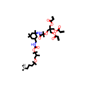 C=CC(=O)OCC(COC(=O)C=C)(COC(=O)C=C)COC(C)(C)C(=O)NC1(C)CC(CNC(=O)OC(C)(C)C(C)COC(C)(C)CCC[SiH](C)C)CC(C)(C)C1